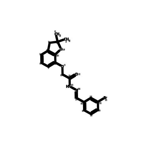 CC1(C)Cc2cccc(OCC(=O)NN=Cc3cccc(Br)c3)c2O1